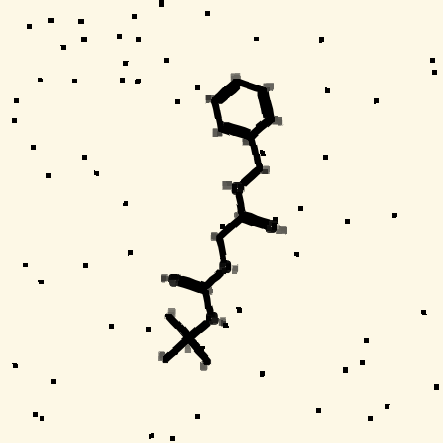 CC(C)(C)OC(=O)OCC(=O)OCc1ccccc1